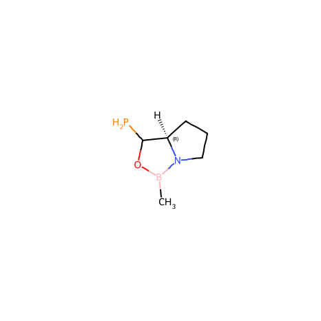 CB1OC(P)[C@H]2CCCN12